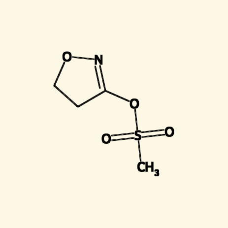 CS(=O)(=O)OC1=NOCC1